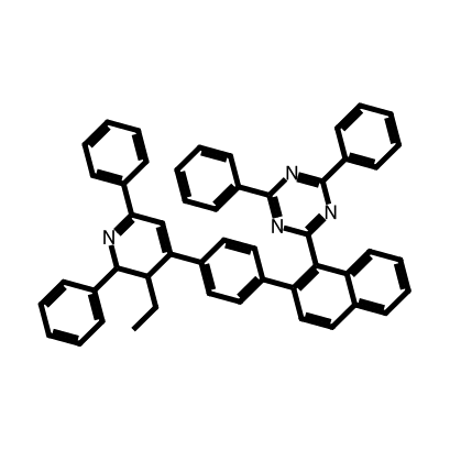 CCC1C(c2ccc(-c3ccc4ccccc4c3-c3nc(-c4ccccc4)nc(-c4ccccc4)n3)cc2)=CC(c2ccccc2)=NC1c1ccccc1